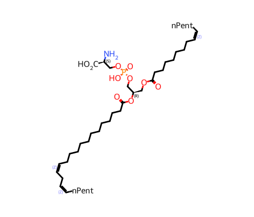 CCCCC/C=C\C/C=C\CCCCCCCCCCCC(=O)O[C@H](COC(=O)CCCCCCC/C=C\CCCCC)COP(=O)(O)OC[C@H](N)C(=O)O